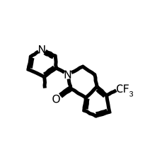 Cc1ccncc1N1CCc2c(cccc2C(F)(F)F)C1=O